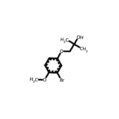 COc1ccc(OCC(C)(C)O)cc1Br